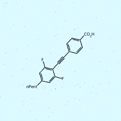 CCCCCc1cc(F)c(C#Cc2ccc(C(=O)O)cc2)c(F)c1